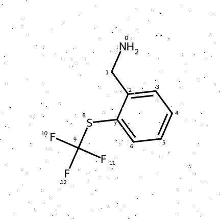 NCc1ccccc1SC(F)(F)F